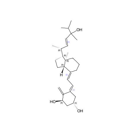 C=C1/C(=C\C=C2/CCC[C@]3(C)[C@@H]([C@H](C)/C=C/C(C)(O)C(C)C)CC[C@@H]23)C[C@H](O)C[C@H]1O